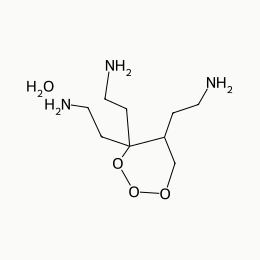 NCCC1COOOC1(CCN)CCN.O